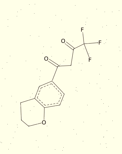 O=C(CC(=O)C(F)(F)F)c1ccc2c(c1)CCCO2